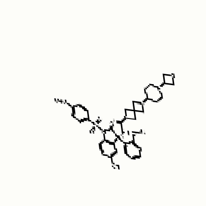 CCOc1ccccc1[C@]1(NC(=O)N2CC3(C2)CN(C2CCN(C4COC4)CC2)C3)C(=O)N(S(=O)(=O)c2ccc(OC)cc2)c2ccc(C#N)cc21